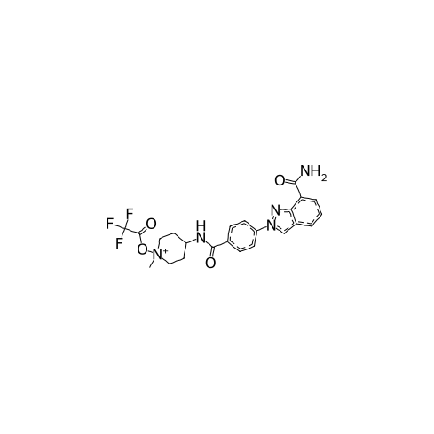 C[N+]1(OC(=O)C(F)(F)F)CCC(NC(=O)c2ccc(-n3cc4cccc(C(N)=O)c4n3)cc2)CC1